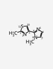 Cc1nc(-c2nc[c]n2C)cs1